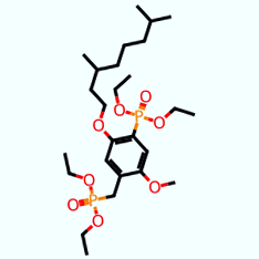 CCOP(=O)(Cc1cc(OCCC(C)CCCC(C)C)c(P(=O)(OCC)OCC)cc1OC)OCC